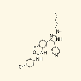 CCCCCN(C)c1nc(-c2ccc(F)c(NC(=O)Nc3ccc(Cl)cc3)c2)c(-c2ccncc2)[nH]1